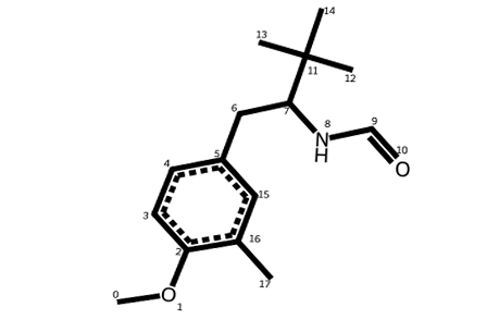 COc1ccc(CC(NC=O)C(C)(C)C)cc1C